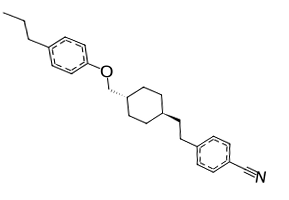 CCCc1ccc(OC[C@H]2CC[C@H](CCc3ccc(C#N)cc3)CC2)cc1